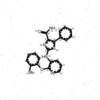 CC(C)(C)c1ccccc1Oc1ncccc1Nc1nc(C(N)=O)c(-c2ccccc2)s1